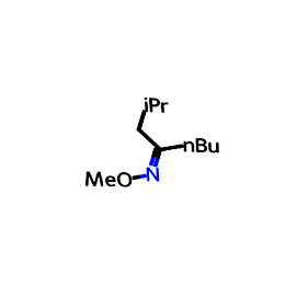 CCCC/C(CC(C)C)=N/OC